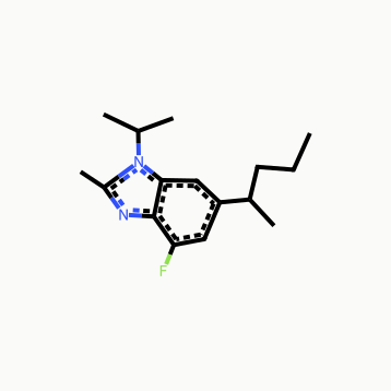 CCCC(C)c1cc(F)c2nc(C)n(C(C)C)c2c1